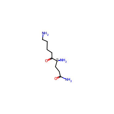 NCCCCC(=O)[C@@H](N)CCC(N)=O